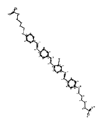 CCC(=O)OCCCCOc1ccc(N=Nc2ccc(N=Nc3ccc(N=Nc4ccc(OCCCCOC(=O)CC)cc4)cc3C)cc2)cc1